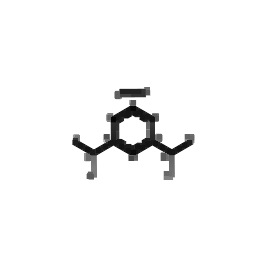 C=C.CC(C)c1cccc(C(C)C)c1